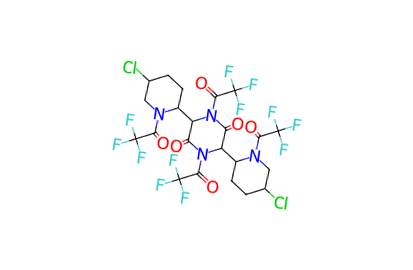 O=C1C(C2CCC(Cl)CN2C(=O)C(F)(F)F)N(C(=O)C(F)(F)F)C(=O)C(C2CCC(Cl)CN2C(=O)C(F)(F)F)N1C(=O)C(F)(F)F